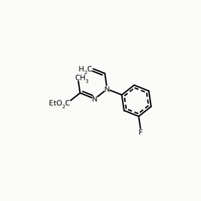 C=CN(/N=C(\C)C(=O)OCC)c1cccc(F)c1